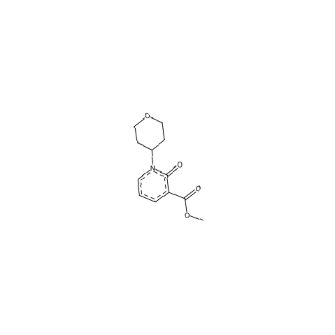 COC(=O)c1cccn(C2CCOCC2)c1=O